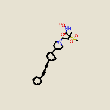 CC(CCN1CC=C(c2ccc(C#CC#Cc3ccccc3)cc2)CC1)(C(=O)NO)S(C)(=O)=O